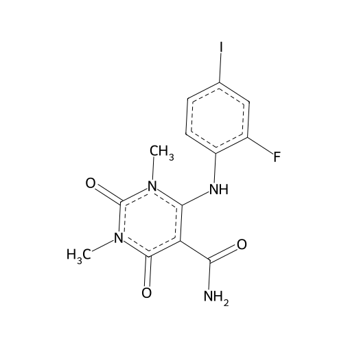 Cn1c(Nc2ccc(I)cc2F)c(C(N)=O)c(=O)n(C)c1=O